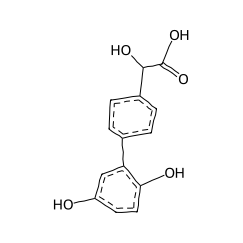 O=C(O)C(O)c1ccc(-c2cc(O)ccc2O)cc1